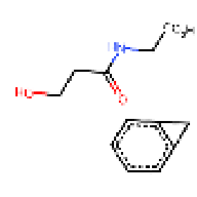 O=C(O)CNC(=O)CCO.c1ccc2c(c1)C2